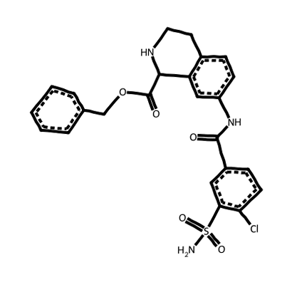 NS(=O)(=O)c1cc(C(=O)Nc2ccc3c(c2)C(C(=O)OCc2ccccc2)NCC3)ccc1Cl